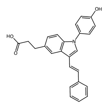 O=C(O)CCc1ccc2c(c1)c(C=Cc1ccccc1)cn2-c1ccc(O)cc1